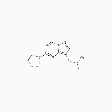 CC(O)Cc1cnn2ccc(N3CCCC3)nc12